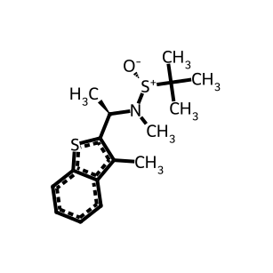 Cc1c([C@@H](C)N(C)[S@+]([O-])C(C)(C)C)sc2ccccc12